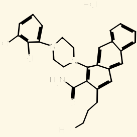 CCCCc1cc2cc3ccccc3cc2c(N2CCN(c3cccc(Cl)c3Cl)CC2)c1C(N)=O.Cl